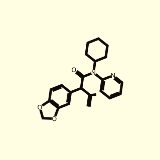 C=C(C)C(C(=O)N(c1ccccn1)C1CCCCC1)c1ccc2c(c1)OCO2